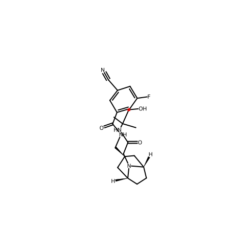 CC(C)(CO)NC(=O)CN1[C@@H]2CC[C@H]1C[C@H](CNC(=O)c1cc(F)cc(C#N)c1)C2